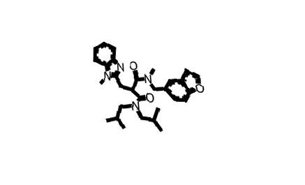 CC(C)CN(CC(C)C)C(=O)C(Cc1nc2ccccc2n1C)C(=O)N(C)Cc1ccc2occc2c1